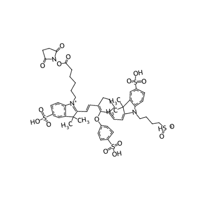 CC1(C)C(/C=C/C2=C(Oc3ccc(S(=O)(=O)O)cc3)C(=C/C=C3/N(CCCC[SH](=O)=O)c4ccc(S(=O)(=O)O)cc4C3(C)C)/CCC2)=[N+](CCCCCC(=O)ON2C(=O)CCC2=O)c2ccc(S(=O)(=O)O)cc21